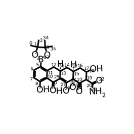 CC1(C)OB(c2ccc(O)c3c2C[C@H]2C[C@H]4CC(O)C(C(N)=O)C(=O)[C@@]4(O)C(O)=C2C3=O)OC1(C)C